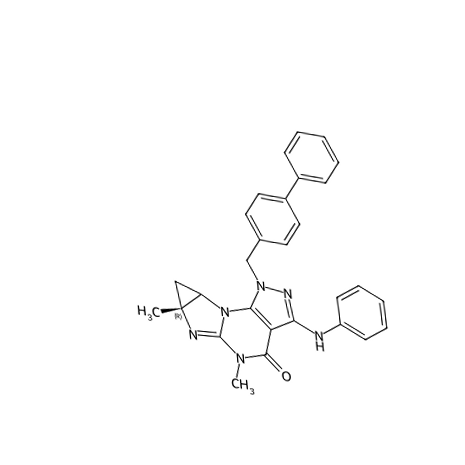 CN1C(=O)c2c(Nc3ccccc3)nn(Cc3ccc(-c4ccccc4)cc3)c2N2C1=N[C@]1(C)CC21